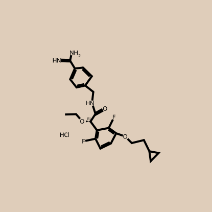 CCO[C@H](C(=O)NCc1ccc(C(=N)N)cc1)c1c(F)ccc(OCCC2CC2)c1F.Cl